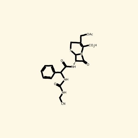 CC(=O)OCC1=C(C(=O)O)N2C(=O)[C@H](NC(=O)C(NC(=O)NCC#N)c3ccccc3)C2SC1